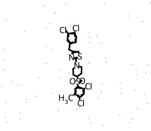 Cc1cc(S(=O)(=O)C2CCN(c3nc(Cc4ccc(Cl)c(Cl)c4)cs3)CC2)c(Cl)cc1Cl